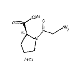 COC(=O)[C@@H]1CCCN1C(=O)CN.Cl